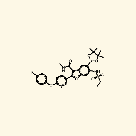 CCS(=O)(=O)Nc1cc2oc(-c3ccc(Oc4ccc(F)cc4)nc3)c(C(=O)NC)c2cc1B1OC(C)(C)C(C)(C)O1